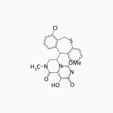 COc1nc(=O)c(O)c2n1C(C1c3ccccc3SCc3c(Cl)cccc31)CN(C)C2=O